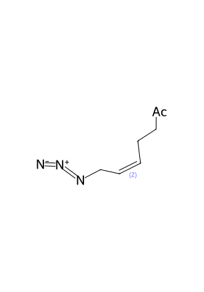 CC(=O)CC/C=C\CN=[N+]=[N-]